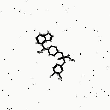 CN=S(=O)(Cc1ccc(F)c(Cl)c1)CC1CCC(N(C)c2ncnc3[nH]ccc23)CC1